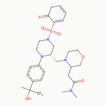 CN(C)C(=O)CC1COCCN1C[C@H]1CN(S(=O)(=O)C2=CC=CCC2=S)CCN1c1ccc(C(C)(O)C(F)(F)F)cc1